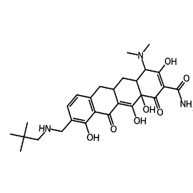 CN(C)C1C(O)=C(C(N)=O)C(=O)C2(O)C(O)=C3C(=O)c4c(ccc(CNCC(C)(C)C)c4O)CC3CC12